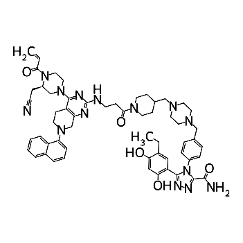 C=CC(=O)N1CCN(c2nc(NCCC(=O)N3CCC(CN4CCN(Cc5ccc(-n6c(C(N)=O)nnc6-c6cc(CC)c(O)cc6O)cc5)CC4)CC3)nc3c2CCN(c2cccc4ccccc24)C3)C[C@H]1CC#N